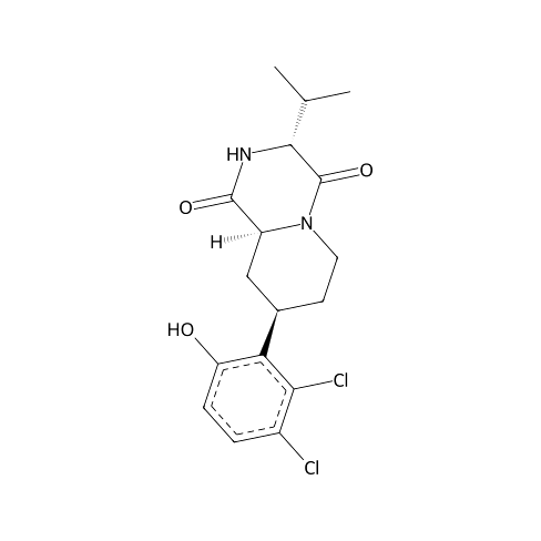 CC(C)[C@H]1NC(=O)[C@@H]2C[C@H](c3c(O)ccc(Cl)c3Cl)CCN2C1=O